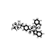 CC(C)(NS(=O)(=O)C(C)(F)F)c1ccc(S(=O)(=O)c2cc3ccccc3n2S(=O)(=O)c2ccccc2F)cc1